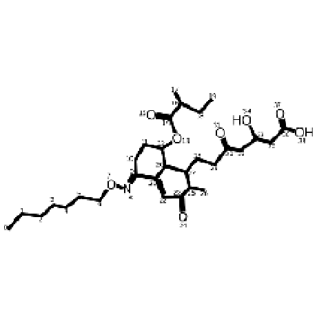 CCCCCCCON=C1CCC(OC(=O)C(C)CC)C2C1=CC(=O)C(C)C2CCC(=O)CC(O)CC(=O)O